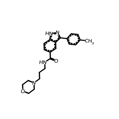 Cc1ccc(-c2n[nH]c3ccc(C(=O)NCCCN4CCOCC4)cc23)cc1